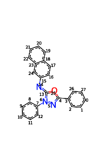 c1ccc(-c2nn(-c3ccccc3)c(=Nc3ccc4ccccc4c3)o2)cc1